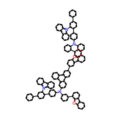 c1ccc(-c2ccc(-c3ccc(N(c4cccc(-c5cccc6c5oc5ccccc56)c4)c4ccc5c6ccc(-c7ccc8oc9c(-c%10cccc(N(c%11ccc(-c%12ccc(-c%13ccccc%13)cc%12-n%12c%13ccccc%13c%13ccccc%13%12)cc%11)c%11ccccc%11-c%11ccccc%11)c%10)cccc9c8c7)cc6c6ccccc6c5c4)cc3)c(-n3c4ccccc4c4ccccc43)c2)cc1